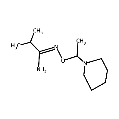 CC(C)/C(N)=N/OC(C)N1CCCCC1